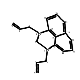 C=CCN1CN(CC=C)c2cccc3cccc1c23